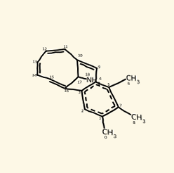 Cc1cc2c(c(C)c1C)C=C1\C=C/C=C\C=C/2C1N